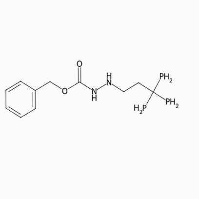 O=C(NNCCC(P)(P)P)OCc1ccccc1